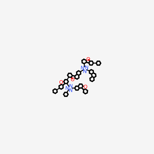 c1ccc(-c2ccc3c(c2)oc2cccc(-c4nc(-c5ccc6c(ccc7oc8c(-c9cc(-c%10nc(-c%11ccccc%11)nc(-c%11ccc%12c(ccc%13oc%14ccccc%14c%13%12)c%11)n%10)c%10c(c9)oc9cc(-c%11ccccc%11)ccc9%10)cccc8c76)c5)nc(-c5ccc6ccc7ccccc7c6c5)n4)c23)cc1